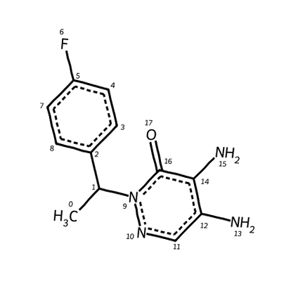 CC(c1ccc(F)cc1)n1ncc(N)c(N)c1=O